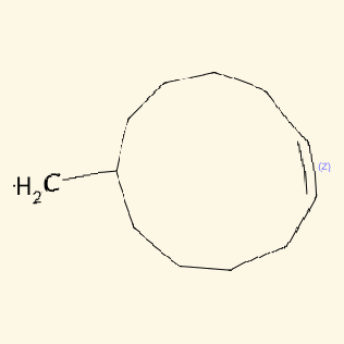 [CH2]C1CCCC/C=C\CCCC1